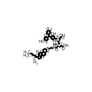 Cc1cc(C(=O)N[C@@H](CCC(=O)O)C(=O)N[C@@H](CCC(=O)O)C(=O)NCCCN[C@H]2CCC3(C)C(=CC[C@@H]4C3CCC3(C)C([C@H](C)CCCC(C)C)CC[C@@H]43)C2)ccc1-c1c2cc(F)c(=O)cc-2oc2cc(O)c(F)cc12